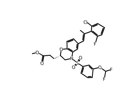 COC(=O)CC[C@H]1CN(S(=O)(=O)c2cccc(OC(F)F)c2)c2cc(/C=C(\C)c3c(F)cccc3Cl)ccc2O1